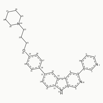 c1cncc(-c2cc3c(cn2)[nH]c2ccc(-c4ccc(OCCCN5CCCCC5)cc4)cc23)c1